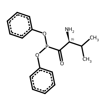 CC(C)[C@H](N)C(=O)P(Oc1ccccc1)Oc1ccccc1